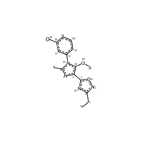 CCc1noc(-c2nc(C)n(-c3cccc(Cl)c3)c2OC)n1